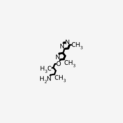 Cc1cc(-c2cnc(OCC(C)CC(C)CN)c(C)c2)ncn1